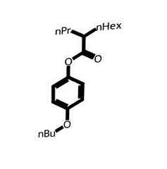 CCCCCCC(CCC)C(=O)Oc1ccc(OCCCC)cc1